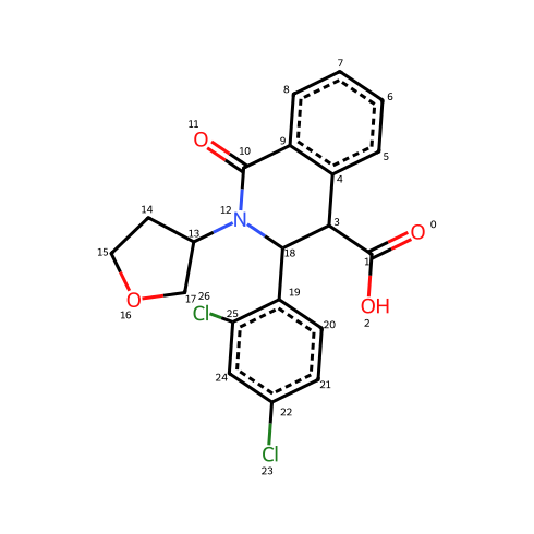 O=C(O)C1c2ccccc2C(=O)N(C2CCOC2)C1c1ccc(Cl)cc1Cl